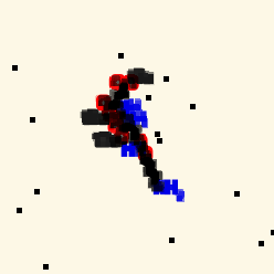 CC(C)(C)OC(=O)CC[C@H](NC(=O)N[C@@H](CCONOCCCCCN)C(=O)OC(C)(C)C)C(=O)OC(C)(C)C